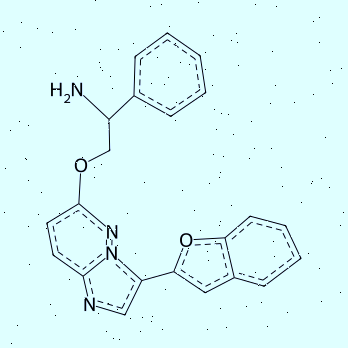 NC(COc1ccc2ncc(-c3cc4ccccc4o3)n2n1)c1ccccc1